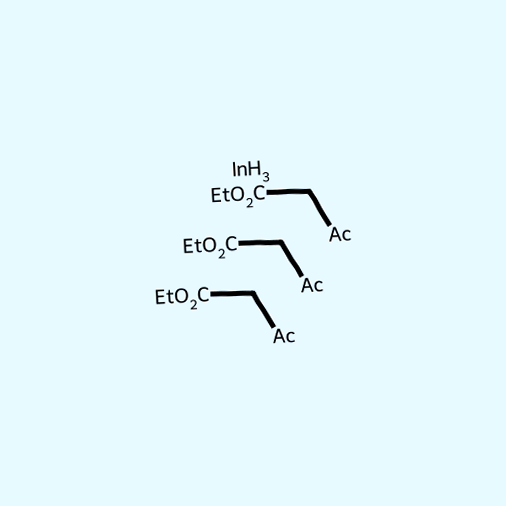 CCOC(=O)CC(C)=O.CCOC(=O)CC(C)=O.CCOC(=O)CC(C)=O.[InH3]